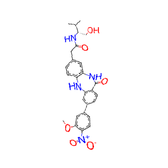 COc1cc(-c2ccc3c(c2)Nc2ccc(CC(=O)N[C@@H](CO)C(C)C)cc2NC3=O)ccc1[N+](=O)[O-]